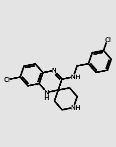 Clc1cccc(CNC2=Nc3ccc(Cl)cc3NC23CCNCC3)c1